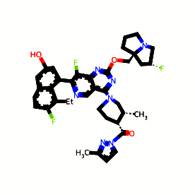 CCc1c(F)ccc2cc(O)cc(-c3ncc4c(N5CC[C@@H](C(=O)n6ccc(C)n6)[C@@H](C)C5)nc(OC[C@@]56CCCN5C[C@H](F)C6)nc4c3F)c12